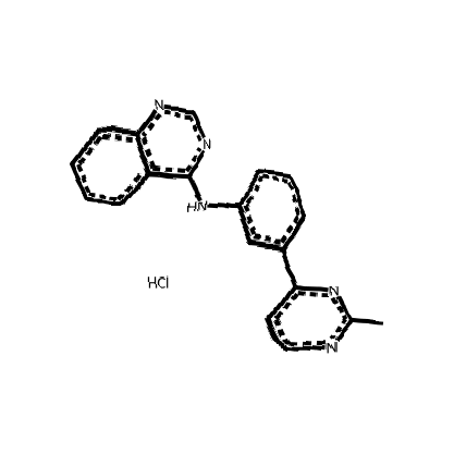 Cc1nccc(-c2cccc(Nc3ncnc4ccccc34)c2)n1.Cl